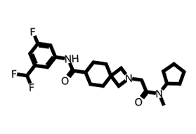 CN(C(=O)CN1CC2(CCC(C(=O)Nc3cc(F)cc(C(F)F)c3)CC2)C1)C1CCCC1